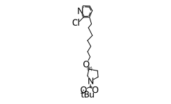 CC(C)(C)OC(=O)N1CC[C@@H](OCCCCCCCc2cccnc2Cl)C1